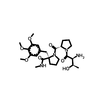 CNC(=O)[C@]1(Cc2cc(OC)c(OC)c(OC)c2)CCCN1C(=O)[C@@H]1CCCN1C(=O)[C@@H](N)[C@@H](C)O